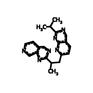 CC(C)c1ncc2ccc(CC(C)c3ncc4ccncc4n3)nc2n1